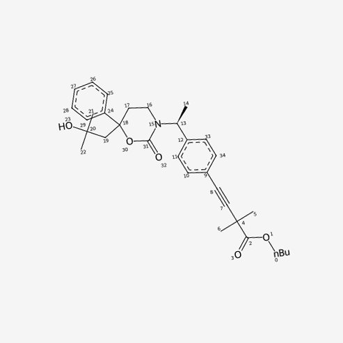 CCCCOC(=O)C(C)(C)C#Cc1ccc([C@H](C)N2CCC(CC(C)(C)O)(c3ccccc3)OC2=O)cc1